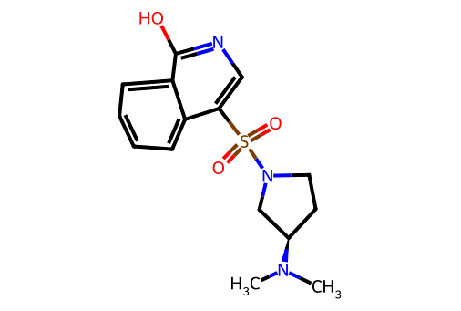 CN(C)[C@@H]1CCN(S(=O)(=O)c2cnc(O)c3ccccc23)C1